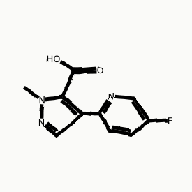 Cn1ncc(-c2ccc(F)cn2)c1C(=O)O